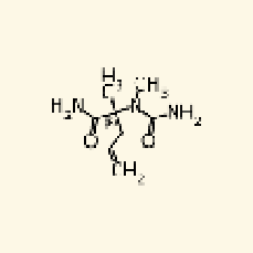 C=CC[C@](C)(C(N)=O)N(C)C(N)=O